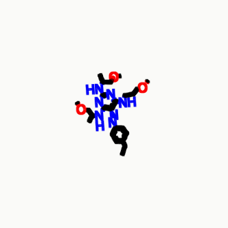 CCc1ccc(N=Nc2c(NCCCOC)nc(NC(C)COC)nc2NC(C)COC)cc1